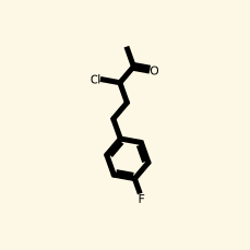 CC(=O)C(Cl)CCc1ccc(F)cc1